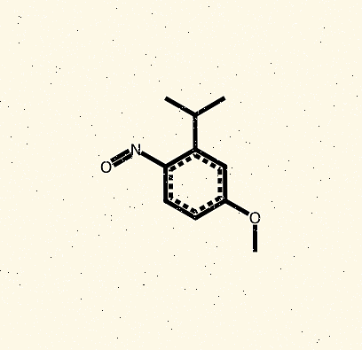 COc1ccc(N=O)c(C(C)C)c1